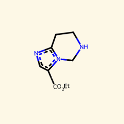 CCOC(=O)c1cnc2n1CNCC2